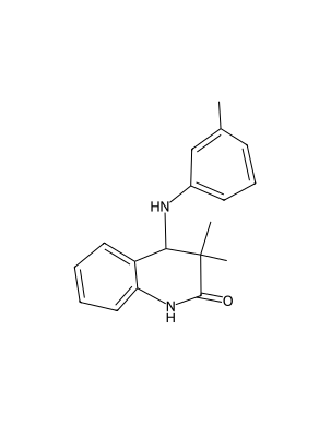 Cc1cccc(NC2c3ccccc3NC(=O)C2(C)C)c1